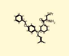 CC(C)=CCN(c1ccc(OCc2ccccc2)cc1)C1CCCN(C(=O)[C@@H](N)CC(C)C)C1